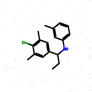 CCC(Nc1cccc(C)c1)c1cc(C)c(Cl)c(C)c1